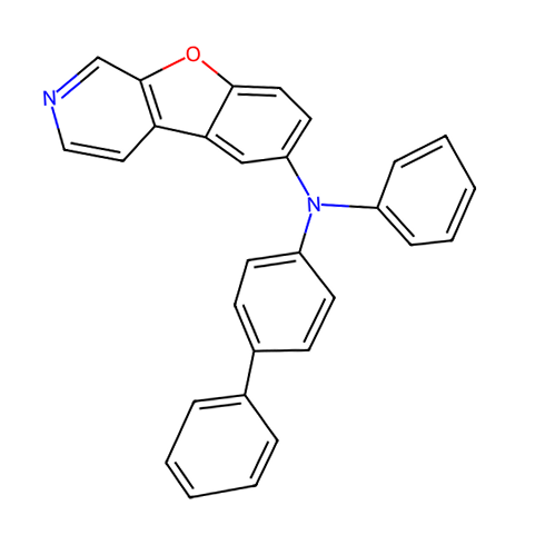 c1ccc(-c2ccc(N(c3ccccc3)c3ccc4oc5cnccc5c4c3)cc2)cc1